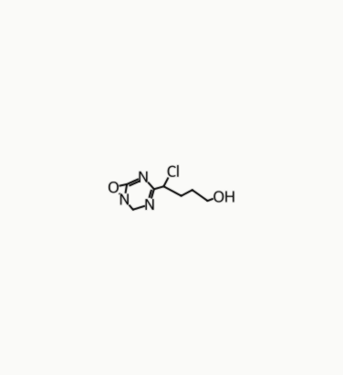 OCCCC(Cl)C1=NCN2OC2=N1